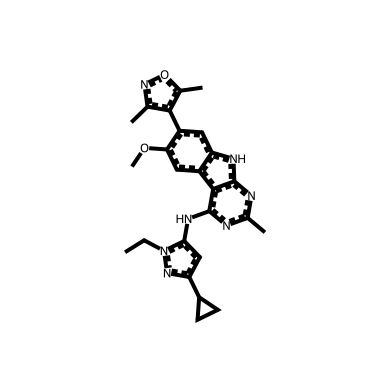 CCn1nc(C2CC2)cc1Nc1nc(C)nc2[nH]c3cc(-c4c(C)noc4C)c(OC)cc3c12